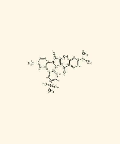 Cc1ccc(N2C(=O)C(O)=C(C(=O)c3ccc(C(C)C)cc3)C2c2ccc(S(C)(=O)=O)cc2)nn1